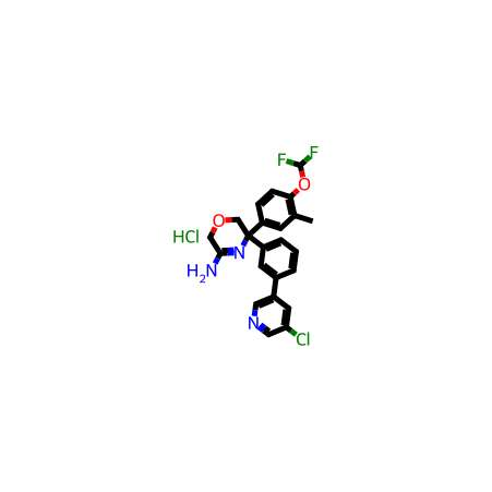 Cc1cc(C2(c3cccc(-c4cncc(Cl)c4)c3)COCC(N)=N2)ccc1OC(F)F.Cl